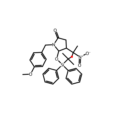 COc1ccc(CN2C(=O)CC(C(C)(C)[N+](=O)[O-])C2O[Si](c2ccccc2)(c2ccccc2)C(C)(C)C)cc1